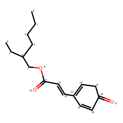 CCCCC(CC)COC(=O)C=CC1=CCC(=O)C=C1